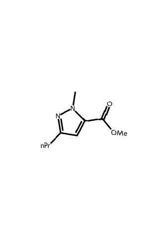 CCCc1cc(C(=O)OC)n(C)n1